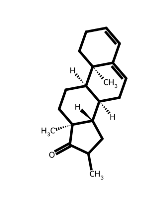 CC1C[C@H]2[C@@H]3CC=C4C=CCC[C@]4(C)[C@@H]3CC[C@]2(C)C1=O